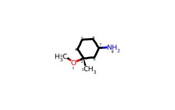 CO[C@]1(C)CCCC(N)C1